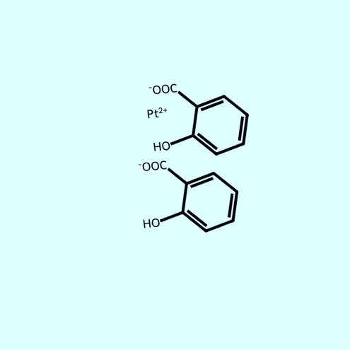 O=C([O-])c1ccccc1O.O=C([O-])c1ccccc1O.[Pt+2]